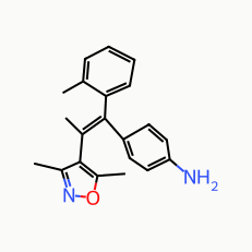 C/C(=C(/c1ccc(N)cc1)c1ccccc1C)c1c(C)noc1C